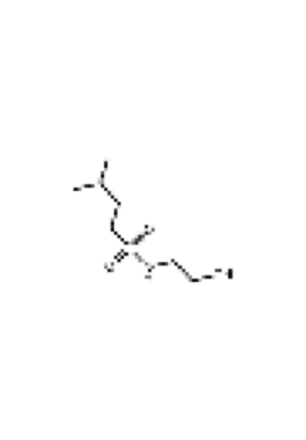 CN(C)CCS(=O)(=O)NCCO